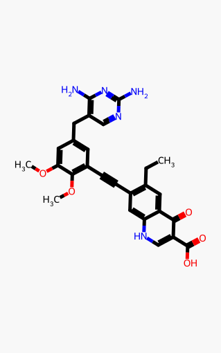 CCc1cc2c(=O)c(C(=O)O)c[nH]c2cc1C#Cc1cc(Cc2cnc(N)nc2N)cc(OC)c1OC